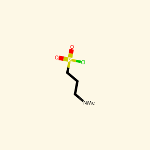 CNCCCS(=O)(=O)Cl